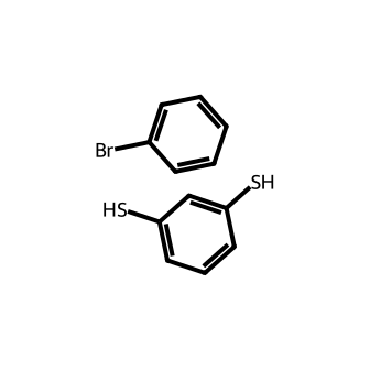 Brc1ccccc1.Sc1cccc(S)c1